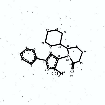 O=C(O)c1sc(-c2ccccc2)cc1N1C(=O)CCCC1C1CCCCC1